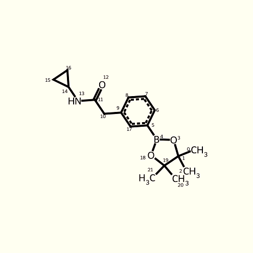 CC1(C)OB(c2cccc(CC(=O)NC3CC3)c2)OC1(C)C